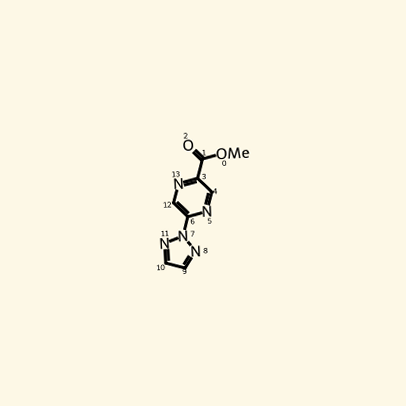 COC(=O)c1cnc(-n2nccn2)cn1